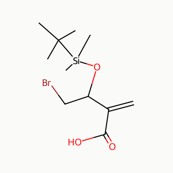 C=C(C(=O)O)C(CBr)O[Si](C)(C)C(C)(C)C